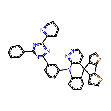 c1ccc(-c2nc(-c3cccc(N4c5ccccc5C5(c6ccnnc64)c4ccsc4-c4sccc45)c3)nc(-c3ccccn3)n2)cc1